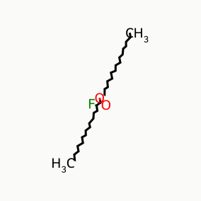 CCCCCCCCCCCCCCCCOC(=O)C(F)CCCCCCCCCCCCCC